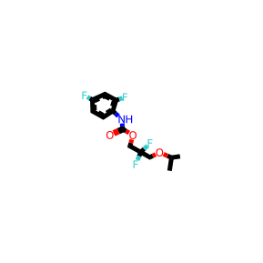 CC(C)OCC(F)(F)COC(=O)Nc1ccc(F)cc1F